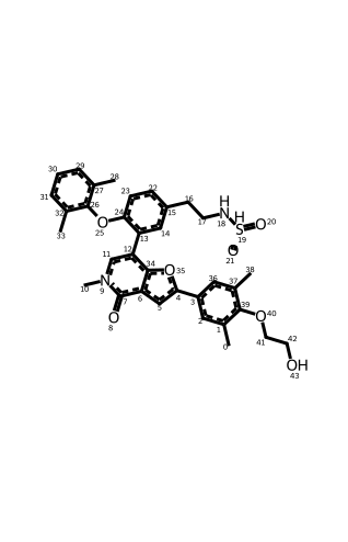 Cc1cc(-c2cc3c(=O)n(C)cc(-c4cc(CCN[SH](=O)=O)ccc4Oc4c(C)cccc4C)c3o2)cc(C)c1OCCO